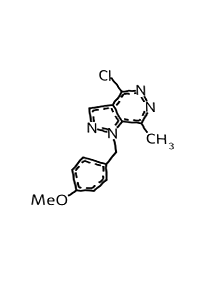 COc1ccc(Cn2ncc3c(Cl)nnc(C)c32)cc1